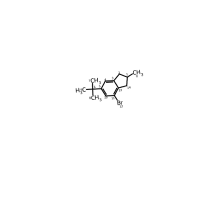 CC1Cc2cc(C(C)(C)C)cc(Br)c2C1